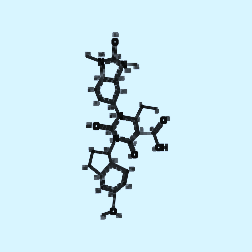 CCc1c(C(=O)O)c(=O)n(C2CCc3cc(OC)ccc32)c(=O)n1-c1ccc2c(c1)n(C)c(=O)n2C